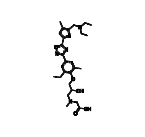 CCc1cc(-c2noc(-c3cc(C)c(CN(CC)CC)s3)n2)cc(C)c1OCC(O)CN(C)CC(=O)O